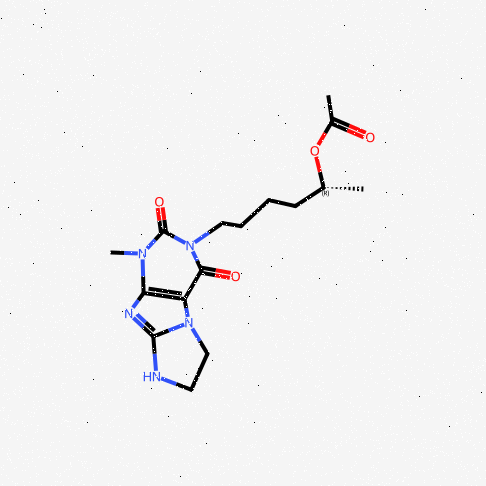 CC(=O)O[C@H](C)CCCCn1c(=O)c2c(nc3n2CCN3)n(C)c1=O